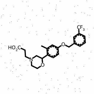 Cc1cc(OCc2cccc(C(F)(F)F)c2)ccc1C1CN(CCC(=O)O)CCO1